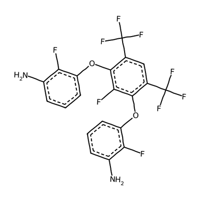 Nc1cccc(Oc2c(C(F)(F)F)cc(C(F)(F)F)c(Oc3cccc(N)c3F)c2F)c1F